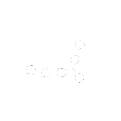 CC1(C)c2cc(-c3ccccc3)ccc2-c2ccc(N(c3ccc(-c4cccc(C5CCCCC5)c4)cc3)c3ccc(C4CC5CCC4C5)cc3)cc21